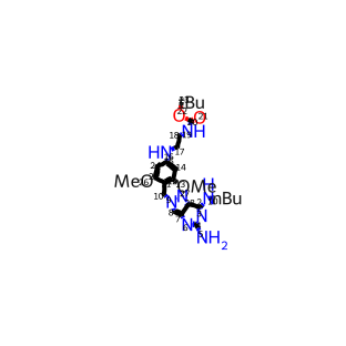 CCCCNc1nc(N)nc2cn(Cc3c(OC)cc(NCCNC(=O)OC(C)(C)C)cc3OC)nc12